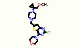 COCC1(N2CCN(Cc3cc4nc(Cl)nc(N5CCOCC5)c4s3)CC2)CC1